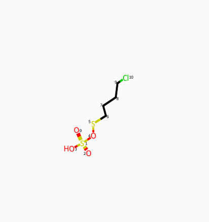 O=S(=O)(O)OSCCCCCl